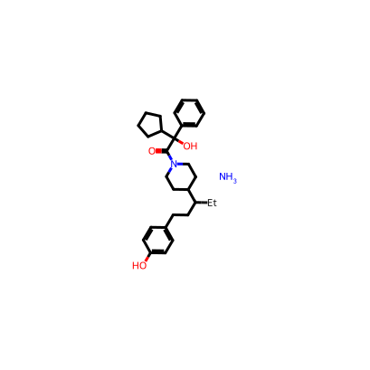 CC[C](CCc1ccc(O)cc1)C1CCN(C(=O)C(O)(c2ccccc2)C2CCCC2)CC1.N